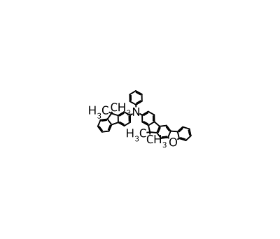 CC1(C)c2ccccc2-c2ccc(N(c3ccccc3)c3ccc4c(c3)C(C)(C)c3cc5oc6ccccc6c5cc3-4)cc21